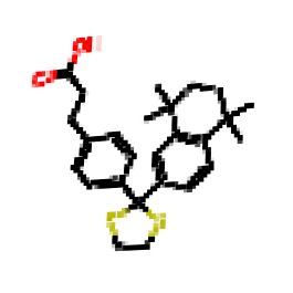 CC1(C)CCC(C)(C)c2cc(C3(c4ccc(CCC(=O)O)cc4)SCCS3)ccc21